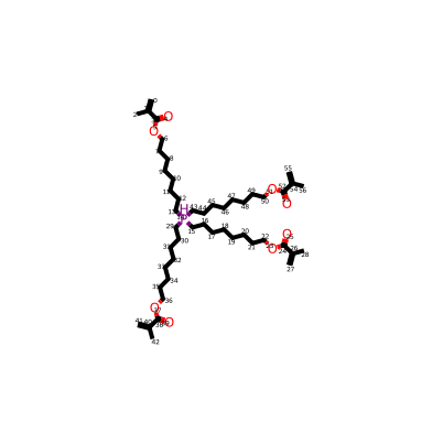 C=C(C)C(=O)OCCCCCCCC[PH](CCCCCCCCOC(=O)C(=C)C)(CCCCCCCCOC(=O)C(=C)C)CCCCCCCCOC(=O)C(=C)C